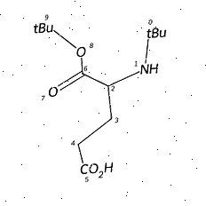 CC(C)(C)NC(CCC(=O)O)C(=O)OC(C)(C)C